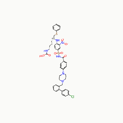 O=C(O)NCCCC[C@H](CSc1ccccc1)Nc1ccc(S(=O)(=O)NC(=O)c2ccc(N3CCN(Cc4ccccc4-c4ccc(Cl)cc4)CC3)cc2)cc1[N+](=O)[O-]